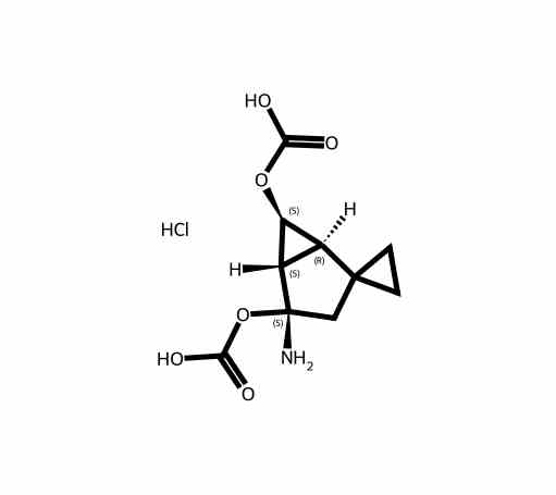 Cl.N[C@]1(OC(=O)O)CC2(CC2)[C@@H]2[C@H](OC(=O)O)[C@H]21